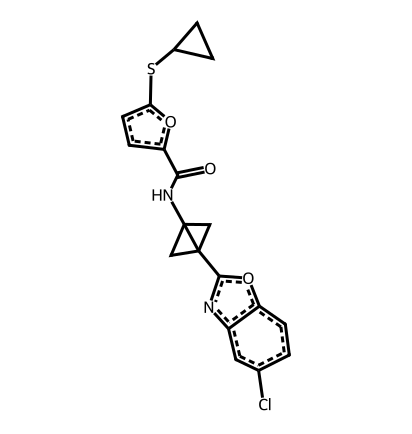 O=C(NC12CC1(c1nc3cc(Cl)ccc3o1)C2)c1ccc(SC2CC2)o1